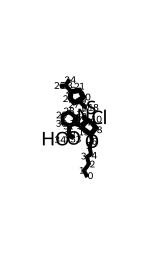 CCCCCCOc1cc(Cl)c2c(c1)c1c(n2C(=S)c2ccc(C(C)C)cc2)CCCC1C(=O)O